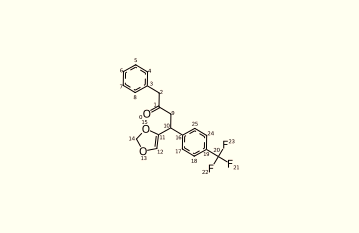 O=C(Cc1ccccc1)CC(C1=COCO1)c1ccc(C(F)(F)F)cc1